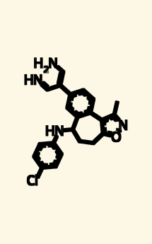 Cc1noc2c1-c1ccc(/C(C=N)=C/N)cc1C(Nc1ccc(Cl)cc1)CC2